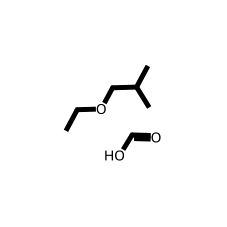 CCOCC(C)C.O=CO